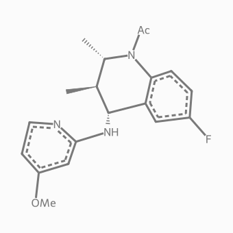 COc1ccnc(N[C@H]2c3cc(F)ccc3N(C(C)=O)[C@@H](C)[C@@H]2C)c1